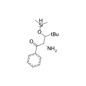 C[SiH](C)OC([C@H](N)C(=O)c1ccccc1)C(C)(C)C